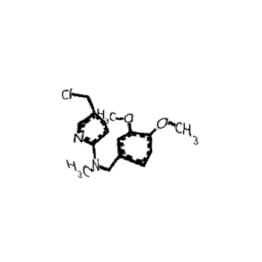 COc1ccc(CN(C)c2ccc(CCl)cn2)cc1OC